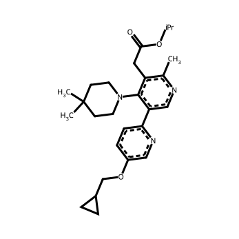 Cc1ncc(-c2ccc(OCC3CC3)cn2)c(N2CCC(C)(C)CC2)c1CC(=O)OC(C)C